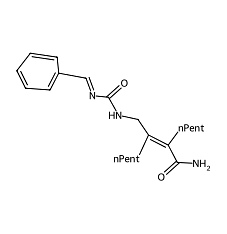 CCCCC/C(CNC(=O)/N=C/c1ccccc1)=C(/CCCCC)C(N)=O